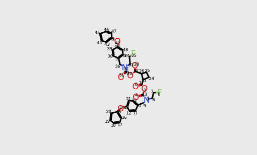 O=C(OC(=O)N(CCF)Cc1ccc(Oc2ccccc2)cc1)C1CCC1C(=O)OC(=O)N(CCF)Cc1ccc(Oc2ccccc2)cc1